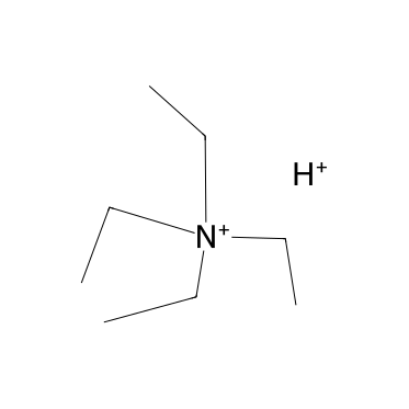 CC[N+](CC)(CC)CC.[H+]